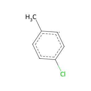 Cc1[c]cc(Cl)cc1